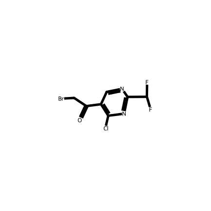 O=C(CBr)c1cnc(C(F)F)nc1Cl